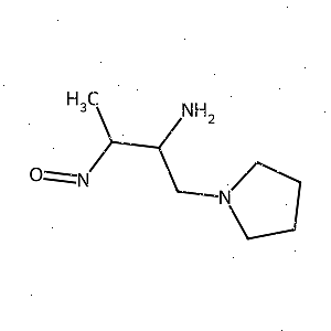 CC(N=O)C(N)CN1CCCC1